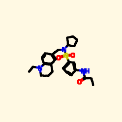 CCC(=O)Nc1cccc(S(=O)(=O)N(Cc2ccc3c(c2)CCCN3CC)C2CCCC2)c1